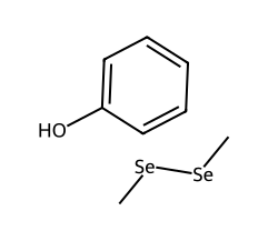 C[Se][Se]C.Oc1ccccc1